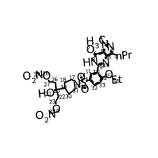 CCCc1nn(C)c2c(=O)[nH]c(-c3cc(S(=O)(=O)N4CCC(C(O)(CCO[N+](=O)[O-])CCO[N+](=O)[O-])CC4)ccc3OCC)nc12